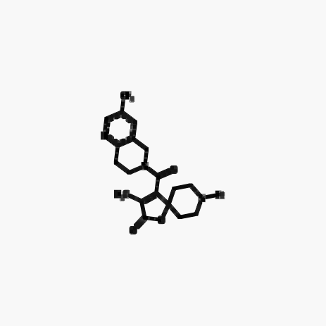 CCN1CCC2(CC1)OC(=O)C(C)=C2C(=O)N1CCc2ncc(C(F)(F)F)cc2C1